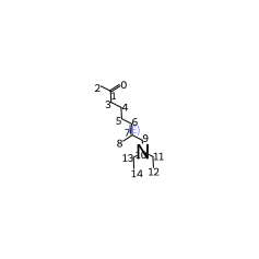 C=C(C)CCC/C=C(\C)CN(CC)CC